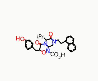 CC(C)C1C(=O)N(CCc2cccc3ccccc23)CC2N(C(=O)O)OC(Cc3ccc(O)cc3)C(=O)N12